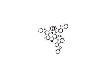 N#Cc1c(-c2ccncc2)c(-n2c3ccccc3c3c4oc5ccccc5c4ccc32)c(-n2c3ccccc3c3c4oc5ccccc5c4ccc32)c(C#N)c1-n1c2ccccc2c2c3oc4ccccc4c3ccc21